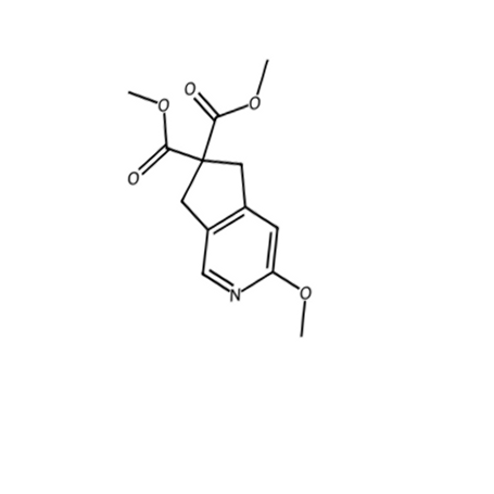 COC(=O)C1(C(=O)OC)Cc2cnc(OC)cc2C1